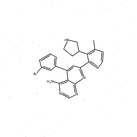 Cc1cccc(-c2cc(-c3cccc(Br)c3)c3c(N)ncnc3n2)c1C1CCNC1